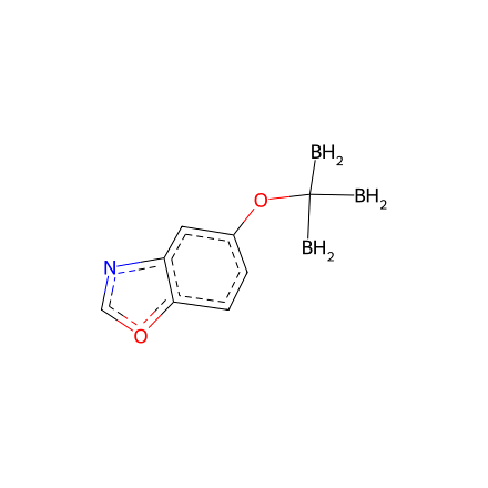 BC(B)(B)Oc1ccc2ocnc2c1